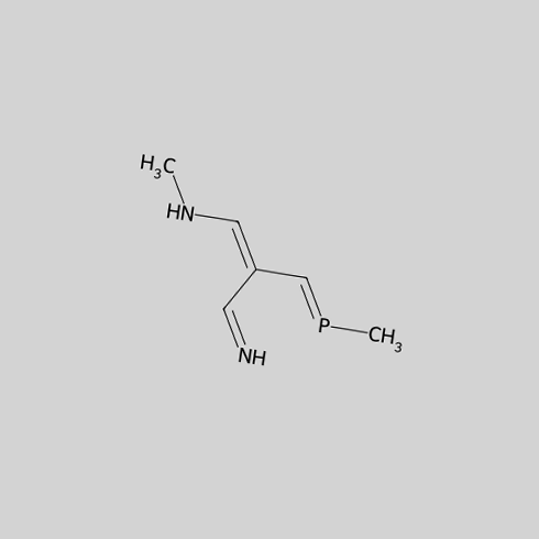 CN/C=C(C=N)/C=P/C